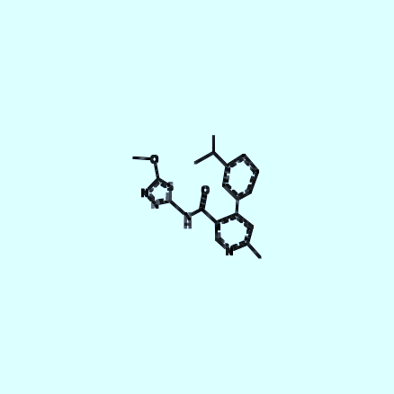 COc1nnc(NC(=O)c2cnc(C)cc2-c2cccc(C(C)C)c2)s1